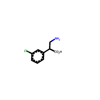 NCC(C(=O)O)c1cccc(Cl)c1